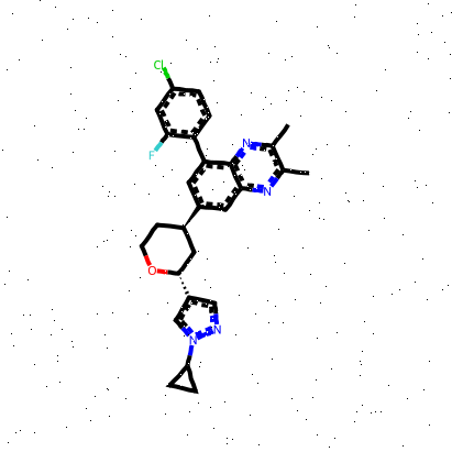 Cc1nc2cc([C@@H]3CCO[C@@H](c4cnn(C5CC5)c4)C3)cc(-c3ccc(Cl)cc3F)c2nc1C